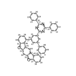 c1ccc(-c2cc(-c3nc(-c4ccccc4)nc(-c4ccccc4)n3)cc(-c3cccc4oc5cc6oc7ccccc7c6cc5c34)c2)cc1